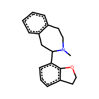 CN1CCc2ccccc2CC1c1cccc2c1OCC2